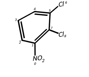 O=[N+]([O-])c1[c]ccc(Cl)c1Cl